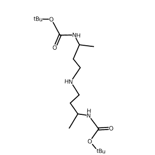 CC(CCNCCC(C)NC(=O)OC(C)(C)C)NC(=O)OC(C)(C)C